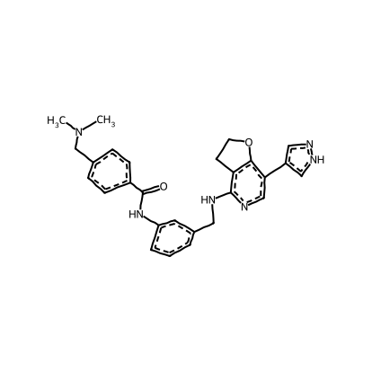 CN(C)Cc1ccc(C(=O)Nc2cccc(CNc3ncc(-c4cn[nH]c4)c4c3CCO4)c2)cc1